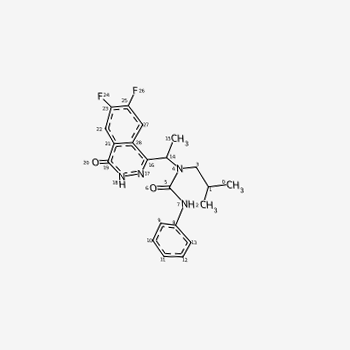 CC(C)CN(C(=O)Nc1ccccc1)C(C)c1n[nH]c(=O)c2cc(F)c(F)cc12